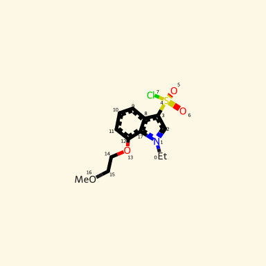 CCn1cc(S(=O)(=O)Cl)c2cccc(OCCOC)c21